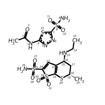 CC(=O)Nc1nnc(S(N)(=O)=O)s1.CCN[C@H]1C[C@H](C)SC2=C1C=C(S(N)(=O)=O)S2(=O)=O